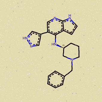 c1ccc(CN2CCC[C@H](Nc3c(-c4cn[nH]c4)cnc4[nH]ccc34)C2)cc1